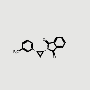 O=C1c2ccccc2C(=O)N1[C@@H]1C[C@@H]1c1cccc(C(F)(F)F)c1